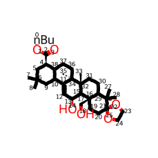 CCCCOC(=O)[C@@H]1CC(C)(C)CC2C3=C[C@H](O)C4[C@@]5(CO)CCC6(OCCO6)C(C)(C)C5CC[C@@]4(C)[C@]3(C)CCC21